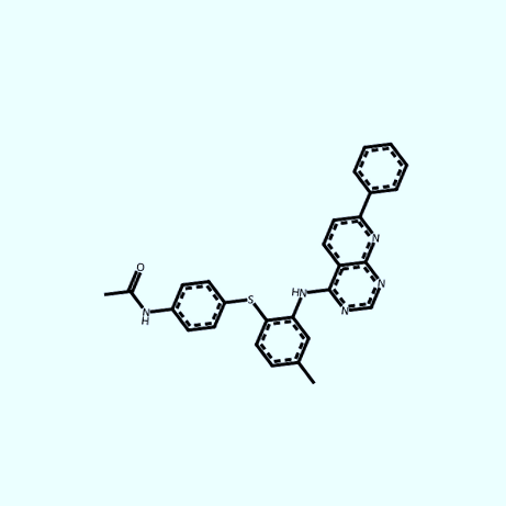 CC(=O)Nc1ccc(Sc2ccc(C)cc2Nc2ncnc3nc(-c4ccccc4)ccc23)cc1